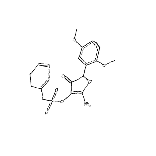 COc1ccc(OC)c(C2OC(N)=C(OS(=O)(=O)CC3=CC=CCC3)C2=O)c1